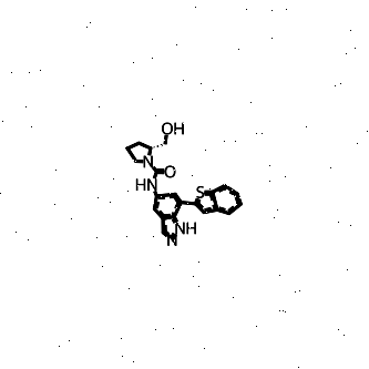 O=C(Nc1cc(-c2cc3ccccc3s2)c2[nH]ncc2c1)N1CCC[C@@H]1CO